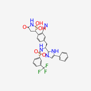 N#Cc1cc(C[C@H](NS(=O)(=O)c2cccc(C(F)(F)F)c2)c2ncc(-c3ccccc3)[nH]2)ccc1C1CC(=O)NS1(O)O